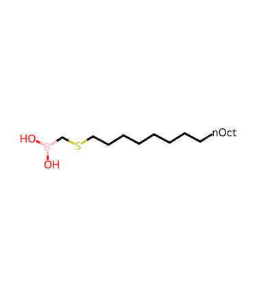 CCCCCCCCCCCCCCCCSCB(O)O